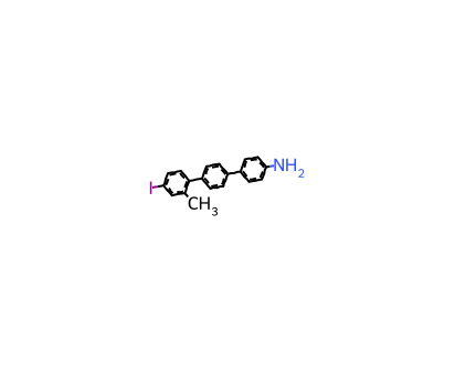 Cc1cc(I)ccc1-c1ccc(-c2ccc(N)cc2)cc1